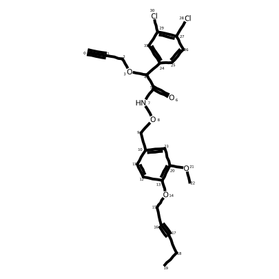 C#CCOC(C(=O)NOCc1ccc(OCC#CCC)c(OC)c1)c1ccc(Cl)c(Cl)c1